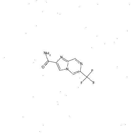 NC(=O)c1cn2cc(C(F)(F)F)ncc2n1